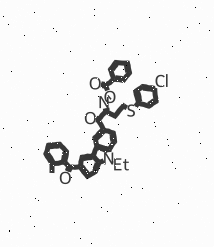 CCn1c2ccc(C(=O)/C(CCSc3ccc(Cl)cc3)=N/OC(=O)c3ccccc3)cc2c2cc(C(=O)c3ccccc3C)ccc21